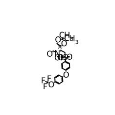 CC1(C)OC[C@@H](C(CS(=O)(=O)c2ccc(Oc3ccc(OC(F)(F)F)cc3)cc2)N(O)C=O)O1